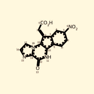 O=C(O)C=c1c2cc([N+](=O)[O-])ccc2c2[nH]c(=O)c3nccn3c12